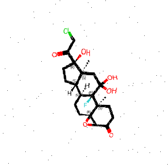 C[C@]12CCC(=O)C3O[C@@]31CC[C@H]1[C@@H]3CC[C@](O)(C(=O)CCl)[C@@]3(C)CC(O)(O)[C@@]12F